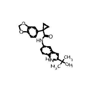 CC(C)(O)c1cc2cc(NC(=O)C3(c4ccc5c(c4)OCO5)CC3)ccc2[nH]1